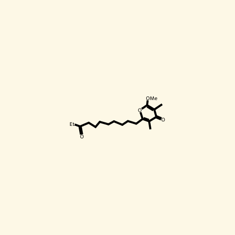 CCC(=O)CCCCCCCCc1oc(OC)c(C)c(=O)c1C